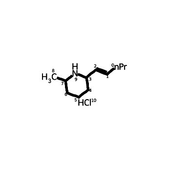 CCCC=CC1CCCC(C)N1.Cl